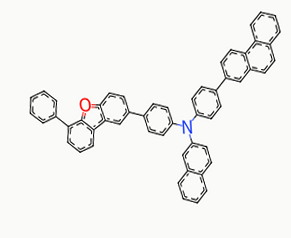 c1ccc(-c2cccc3c2oc2ccc(-c4ccc(N(c5ccc(-c6ccc7c(ccc8ccccc87)c6)cc5)c5ccc6ccccc6c5)cc4)cc23)cc1